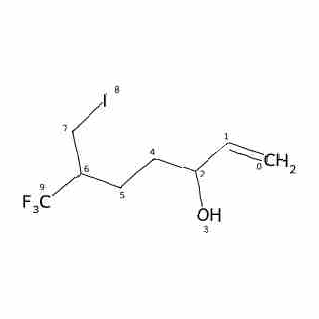 C=CC(O)CCC(CI)C(F)(F)F